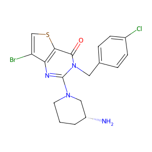 N[C@@H]1CCCN(c2nc3c(Br)csc3c(=O)n2Cc2ccc(Cl)cc2)C1